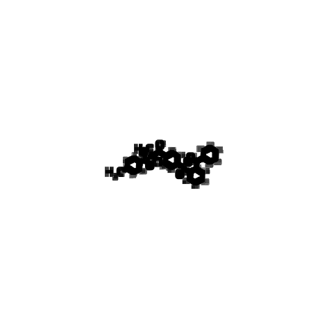 Cc1ccc(S(=O)(=O)C(C)(C)C(=O)c2ccc(S(=O)(=O)c3ccccc3C(=O)c3ccccc3)cc2)cc1